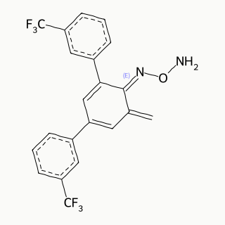 C=C1C=C(c2cccc(C(F)(F)F)c2)C=C(c2cccc(C(F)(F)F)c2)/C1=N/ON